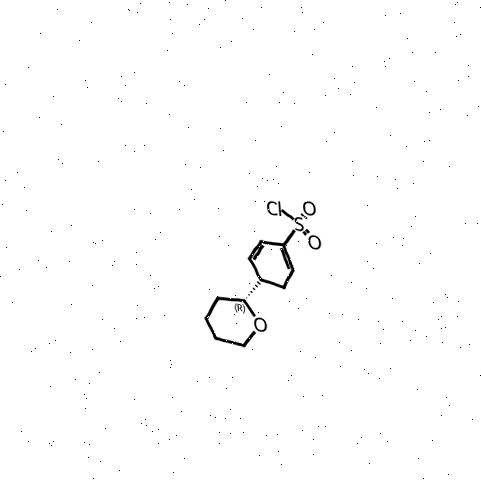 O=S(=O)(Cl)C1=CCC([C@H]2CCCCO2)C=C1